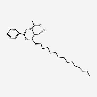 CCCCCCCCCCCCC/C=C/[C@@H](OC(=O)c1ccccc1)[C@H](CO)NC(C)=O